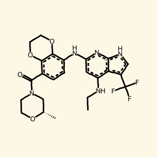 CCNc1cc(Nc2ccc(C(=O)N3CCO[C@@H](C)C3)c3c2OCCO3)nc2[nH]cc(C(F)(F)F)c12